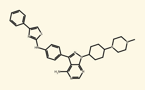 CN1CCN(C2CCC(n3nc(-c4ccc(Nc5nc(-c6ccccc6)cs5)cc4)c4c(N)ncnc43)CC2)CC1